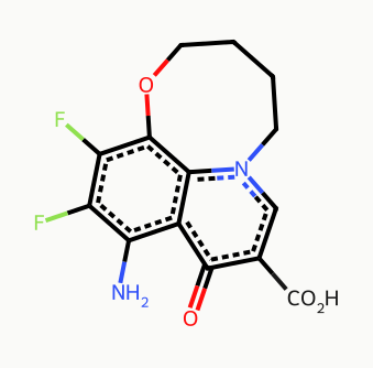 Nc1c(F)c(F)c2c3c1c(=O)c(C(=O)O)cn3CCCCO2